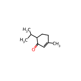 CC1=CC(=O)C(C(C)C)CC1